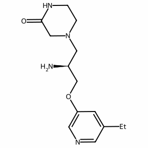 CCc1cncc(OC[C@@H](N)CN2CCNC(=O)C2)c1